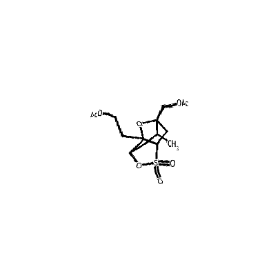 CC(=O)OCCC12OC3(COC(C)=O)CC1S(=O)(=O)OC2C3C